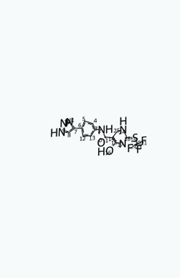 O=C(Nc1ccc(-c2c[nH]nn2)cc1)C1=C(O)N=C(SC(F)(F)F)NC1